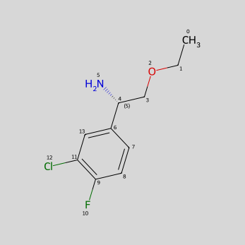 CCOC[C@@H](N)c1ccc(F)c(Cl)c1